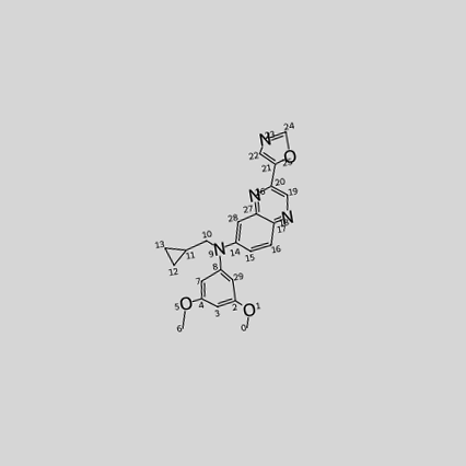 COc1cc(OC)cc(N(CC2CC2)c2ccc3ncc(-c4cnco4)nc3c2)c1